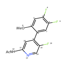 COc1cc(F)c(F)cc1-c1cc(NC(C)=O)ncc1F